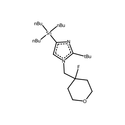 CCC[CH2][Sn]([CH2]CCC)([CH2]CCC)[c]1cn(CC2(F)CCOCC2)c(C(C)(C)C)n1